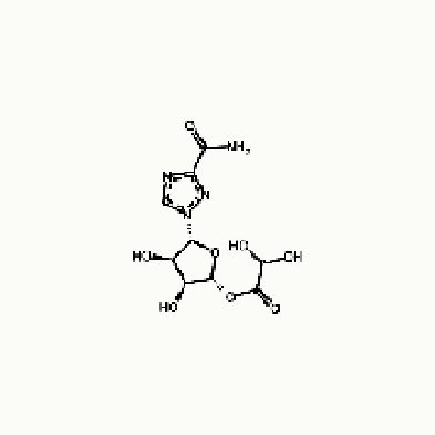 NC(=O)c1ncn([C@@H]2O[C@H](OC(=O)P(O)O)[C@@H](O)[C@H]2O)n1